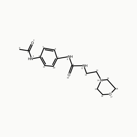 CC(=O)Nc1ccc(NC(=O)NCCN2CCOCC2)cc1